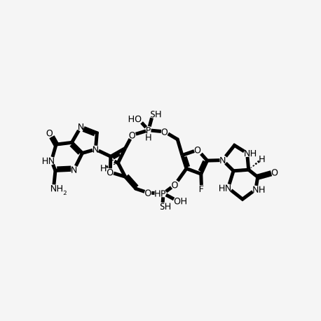 Nc1nc2c(ncn2C2=C3O[PH](O)(S)OCc4oc(N5CN[C@H]6C(=O)NCNC65)c(F)c4O[PH](O)(S)O/C=C(/O2)[C@H]3F)c(=O)[nH]1